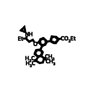 CCOC(=O)c1ccc(-c2ccc(OCCC(CC)NC3CC3)c(-c3ccc4c(c3)C(C)(C)CCC4(C)C)c2)cc1